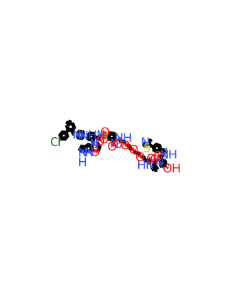 Cc1ncsc1-c1ccc([C@H](C)NC(=O)[C@@H]2C[C@@H](O)CN2C(=O)[C@@H](NC(=O)CCOCCOCCOCCNc2ccc(S(=O)(=O)NC(=O)c3ccc(N4CCN(CC5=C(c6ccc(Cl)cc6)CC(C)(C)CC5)CC4)cc3N3CCCOc4nc5[nH]ccc5cc43)cc2[N+](=O)[O-])C(C)(C)C)cc1